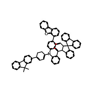 CC1(C)c2ccccc2-c2ccc(C3=CC=C(N(c4ccc(-c5cccc6c5oc5ccccc56)cc4)c4ccccc4C4=CC=CC5C4c4ccccc4C54c5ccccc5-c5ccccc54)CC3)cc21